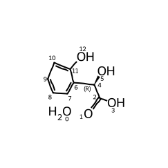 O.O=C(O)[C@H](O)c1ccccc1O